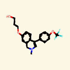 CN1C=C(c2ccc(OC(F)(F)F)cc2)c2ccc(OCCCO)cc2C1